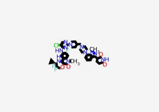 Cn1nc(C2CCC(=O)NC2=O)c2cccc(N3CCN(CC4CCN(c5ncc(Cl)c(Nc6cc7c8c(c(=O)n(C)c7cc6F)OCC(F)(F)[C@H](C6CC6)N8)n5)CC4)CC3)c21